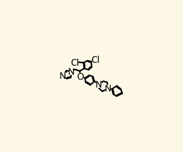 Clc1ccc(C(Cn2ccnc2)Oc2ccc(N3CCN(c4ccccc4)CC3)cc2)c(Cl)c1